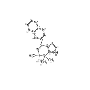 CC1(C)N=C(c2cnc3ccccc3n2)c2cc[nH]c2C1(C)C